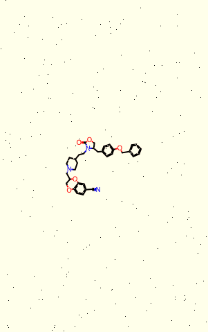 N#Cc1ccc2c(c1)OC(CN1CCC(CCN3C(=O)OCC3Cc3ccc(OCc4ccccc4)cc3)CC1)CO2